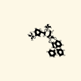 C[C@@H](O[Si](C)(C)C)[C@H]1C(=O)N(OC(=O)C=P(c2ccccc2)(c2ccccc2)c2ccccc2)[C@@H]1CC(=O)c1cccc(O[Si](C)(C)C)c1